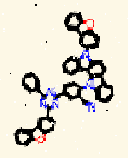 N#Cc1cc(-c2nc(-c3ccccc3)nc(-c3ccc4oc5ccccc5c4c3)n2)ccc1-n1c2ccccc2c2ccc3c(c4ccccc4n3-c3ccc4oc5ccccc5c4c3)c21